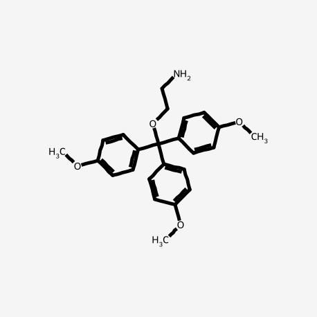 COc1ccc(C(OCCN)(c2ccc(OC)cc2)c2ccc(OC)cc2)cc1